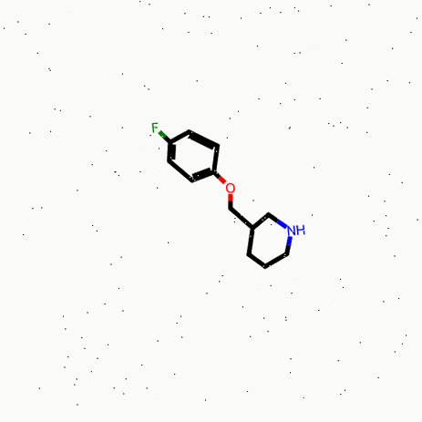 Fc1ccc(OCC2CCCNC2)cc1